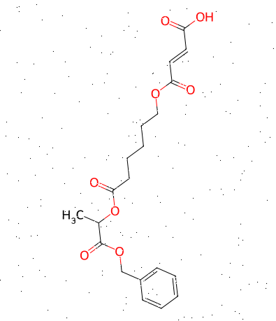 CC(OC(=O)CCCCCOC(=O)C=CC(=O)O)C(=O)OCc1ccccc1